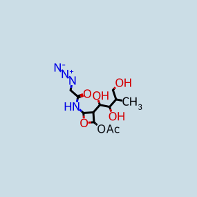 CC(=O)OC1OC(NC(=O)CN=[N+]=[N-])C1C(O)C(O)C(C)CO